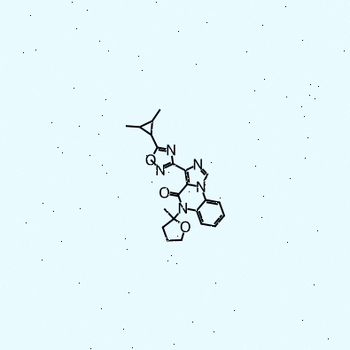 CC1C(C)C1c1nc(-c2ncn3c2c(=O)n(C2(C)CCCO2)c2ccccc23)no1